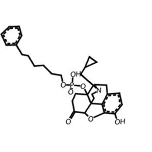 O=C1CCC2(OP(=O)(O)OCCCCCCc3ccccc3)C3Cc4ccc(O)c5c4C2(CCN3CC2CC2)C1O5